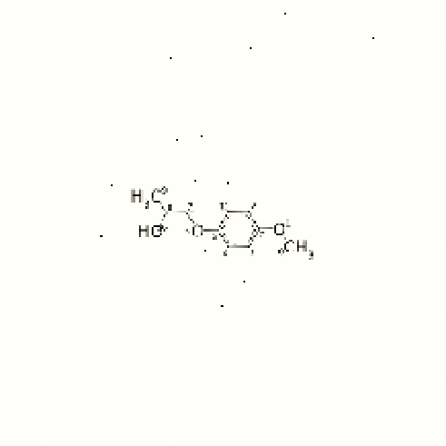 COc1ccc(O[CH]C(C)O)cc1